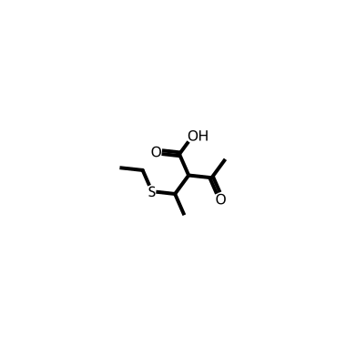 CCSC(C)C(C(C)=O)C(=O)O